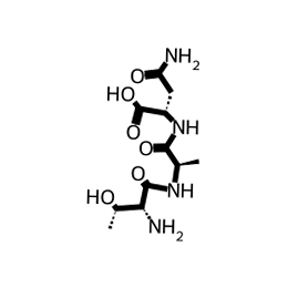 C[C@H](O)[C@@H](N)C(=O)N[C@H](C)C(=O)N[C@@H](CC(N)=O)C(=O)O